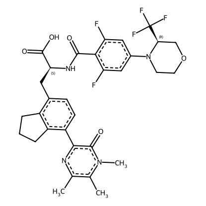 Cc1nc(-c2ccc(C[C@H](NC(=O)c3c(F)cc(N4CCOC[C@@H]4C(F)(F)F)cc3F)C(=O)O)c3c2CCC3)c(=O)n(C)c1C